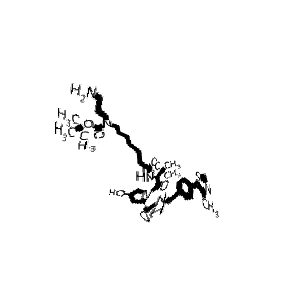 Cc1ncsc1-c1ccc(CNC(=O)[C@@H]2C[C@@H](O)CN2C(=O)[C@@H](NC(=O)CCCCCCN(CCCN)C(=O)OC(C)(C)C)C(C)(C)C)cc1